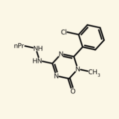 CCCNNc1nc(-c2ccccc2Cl)n(C)c(=O)n1